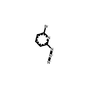 [N-]=[N+]=Nc1cccc(Br)n1